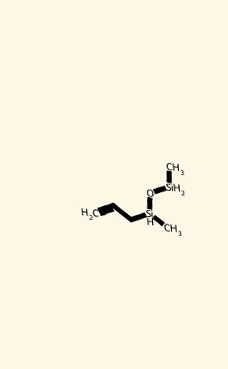 C=CC[SiH](C)O[SiH2]C